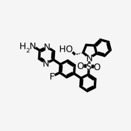 Nc1cnc(-c2ccc(-c3ccccc3S(=O)(=O)N3c4ccccc4C[C@H]3CO)cc2F)cn1